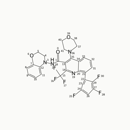 O=C(NN1CCOc2ccccc21)c1c(C(F)(F)F)nc2c(-c3cc(F)cc(F)c3F)cccc2c1N1CCOCC1